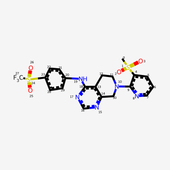 CS(=O)(=O)c1cccnc1N1CCc2c(ncnc2Nc2ccc(S(=O)(=O)C(F)(F)F)cc2)C1